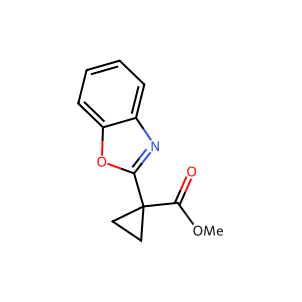 COC(=O)C1(c2nc3ccccc3o2)CC1